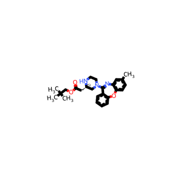 Cc1ccc2c(c1)N=C(N1CCN[C@@H](CC(=O)OCC(C)(C)C)C1)c1ccccc1O2